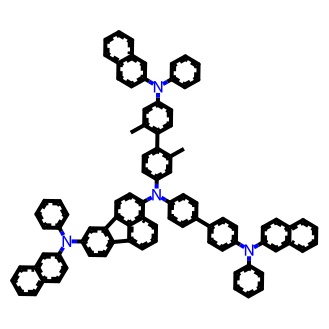 Cc1cc(N(c2ccccc2)c2ccc3ccccc3c2)ccc1-c1ccc(N(c2ccc(-c3ccc(N(c4ccccc4)c4ccc5ccccc5c4)cc3)cc2)c2ccc3c4c(cccc24)-c2ccc(N(c4ccccc4)c4ccc5ccccc5c4)cc2-3)cc1C